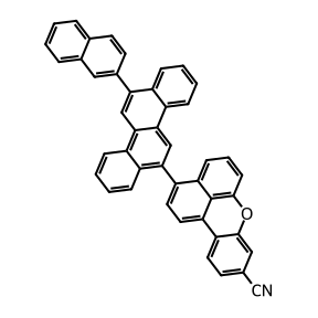 N#Cc1ccc2c(c1)Oc1cccc3c(-c4cc5c6ccccc6c(-c6ccc7ccccc7c6)cc5c5ccccc45)ccc-2c13